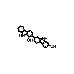 Oc1ccc2c(c1)[nH]c1cc(-c3ccc4c([nH]c5ccccc54)c3O)ccc12